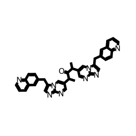 CC(C(=O)C(C)c1cnc2ncc(Cc3ccc4ncccc4c3)n2c1)c1cnc2ncc(Cc3ccc4ncccc4c3)n2c1